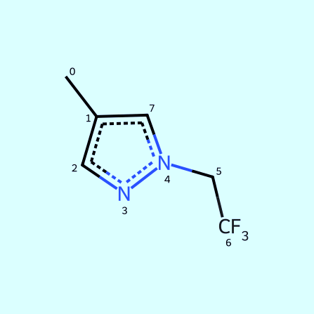 Cc1cnn(CC(F)(F)F)c1